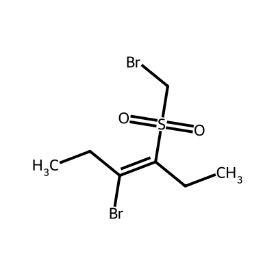 CCC(Br)=C(CC)S(=O)(=O)CBr